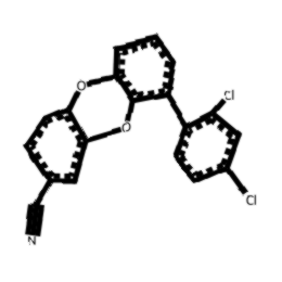 N#Cc1ccc2c(c1)Oc1c(cccc1-c1ccc(Cl)cc1Cl)O2